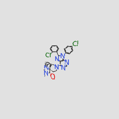 CC(C)N1CN(C)C(=O)C12CCN(c1ncnc3c1nc(-c1ccccc1Cl)n3-c1ccc(Cl)cc1)CC2